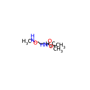 CNOCCCNC(=O)OC(C)(C)C